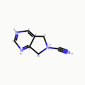 N#CN1Cc2cncnc2C1